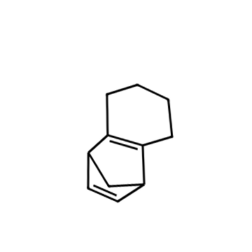 C1=CC2CC1C1=C2CCCC1